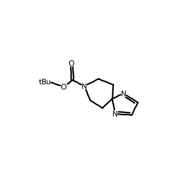 CC(C)(C)OC(=O)N1CCC2(CC1)N=CC=N2